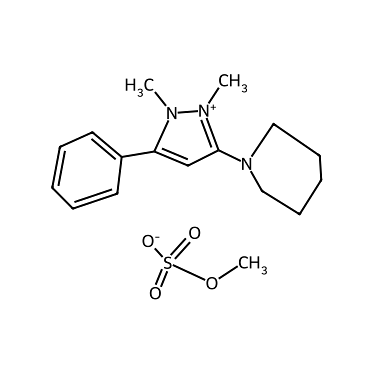 COS(=O)(=O)[O-].Cn1c(-c2ccccc2)cc(N2CCCCC2)[n+]1C